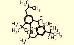 CC(C)Cc1cc(C(C)c2cc(CC(C)C)cc(C(C)(C)C)c2O)c(O)c(C(C)(C)C)c1